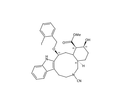 COC(=O)[C@@H]1C2C[C@H](OCc3ccccc3I)c3[nH]c4ccccc4c3CCN(C#N)C[C@@H]2CC[C@@H]1O